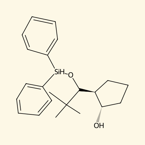 CC(C)(C)C(O[SiH](c1ccccc1)c1ccccc1)[C@H]1CCC[C@@H]1O